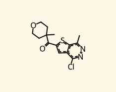 Cc1nnc(Cl)c2cc(C(=O)C3(C)CCOCC3)sc12